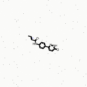 C/C=C/C(=O)Nc1ccc(-c2ccc(=O)[nH]n2)cc1